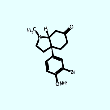 COc1ccc([C@]23CCC(=O)C[C@H]2N(C)CC3)cc1Br